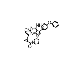 N#CC=CC1CC1C(=O)N1CCCC(n2cc(-c3ccc(Oc4ccccc4)cc3)c3c(N)ncnc32)C1